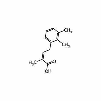 CC(=CCc1cccc(C)c1C)C(=O)O